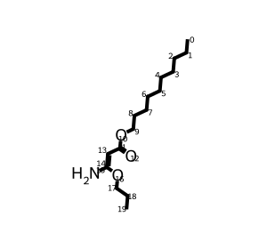 CCCCCCCCCCOC(=O)C=C(N)OCCC